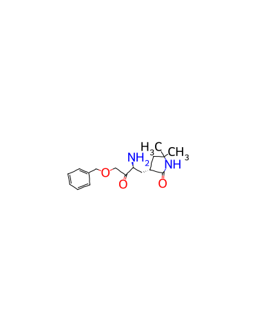 CC1(C)C[C@@H](C[C@H](N)C(=O)COCc2ccccc2)C(=O)N1